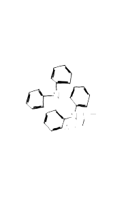 C[CH2][Al+2].c1ccc([N-]c2ccccc2)cc1.c1ccc([N-]c2ccccc2)cc1